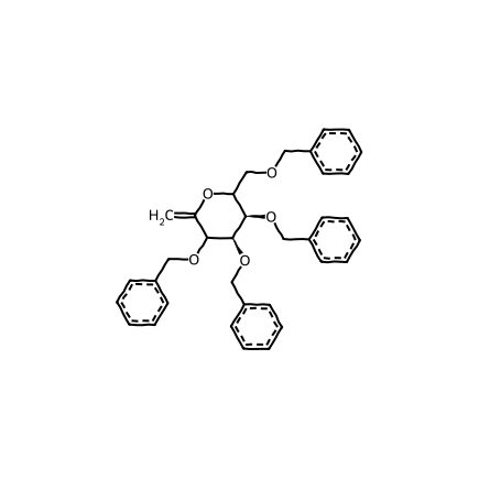 C=C1OC(COCc2ccccc2)[C@@H](OCc2ccccc2)[C@@H](OCc2ccccc2)C1OCc1ccccc1